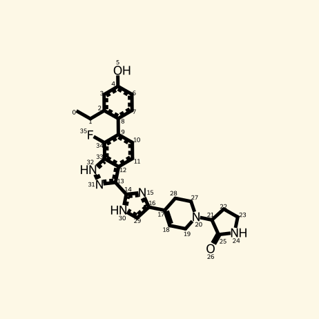 CCc1cc(O)ccc1-c1ccc2c(-c3nc(C4=CCN(C5CCNC5=O)CC4)c[nH]3)n[nH]c2c1F